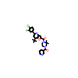 CC(C)(C)c1cc(-c2ccc(Cl)c(F)c2)nc2cc(C(=O)N3CCN(C(=O)c4cccnc4)CC3(C)C)oc12